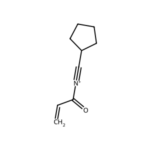 C=CC(=O)[N+]#CC1CCCC1